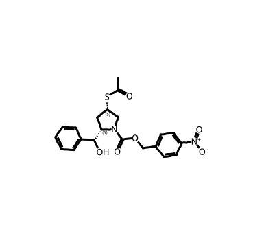 CC(=O)S[C@H]1C[C@@H](C(O)c2ccccc2)N(C(=O)OCc2ccc([N+](=O)[O-])cc2)C1